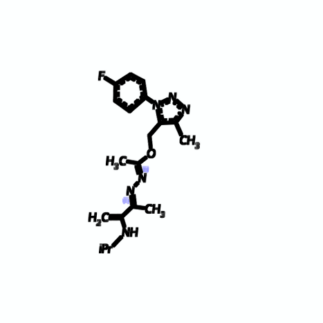 C=C(NC(C)C)/C(C)=N/N=C(\C)OCc1c(C)nnn1-c1ccc(F)cc1